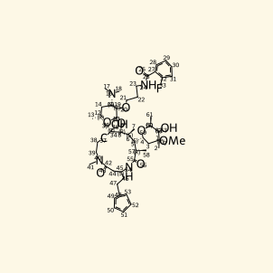 CO[C@]1(C)CC([C@H]2[C@H](C)[C@@H](O[C@@H]3O[C@H](C)C[C@H](N(C)C)[C@H]3OCCCNC(=O)c3ccccc3F)[C@](C)(O)CCCN(C)C(=O)C[C@H](CCc3ccccc3)NC(=O)[C@@H]2C)O[C@@H](C)[C@@H]1O